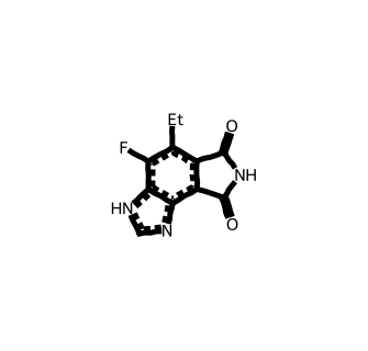 CCc1c2c(c3nc[nH]c3c1F)C(=O)NC2=O